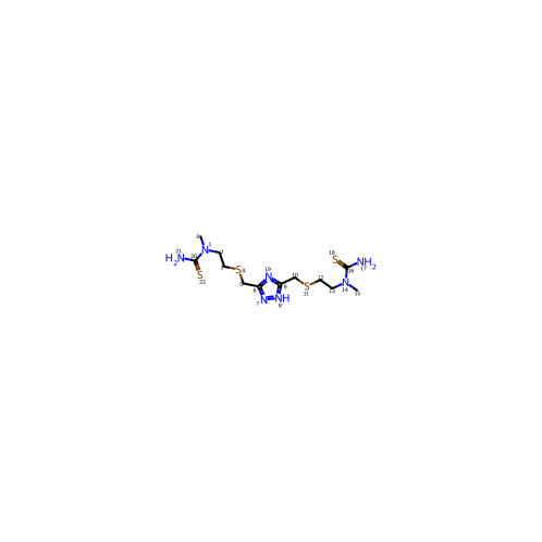 CN(CCSCc1n[nH]c(CSCCN(C)C(N)=S)n1)C(N)=S